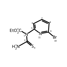 CCOC(=O)N(C(N)=S)c1cccc(Br)n1